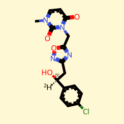 [2H][C@](O)(Cc1noc(Cn2c(=O)ccn(C)c2=O)n1)c1ccc(Cl)cc1